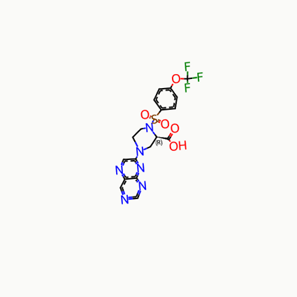 O=C(O)[C@H]1CN(c2cnc3cncnc3n2)CCN1S(=O)(=O)c1ccc(OC(F)(F)F)cc1